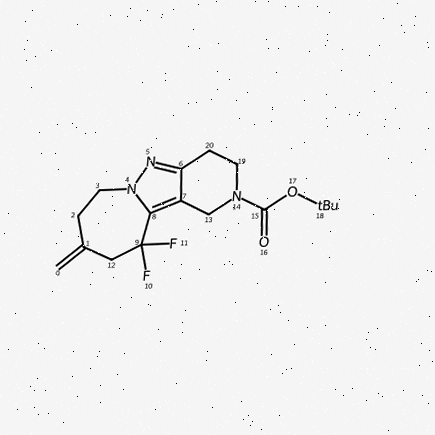 C=C1CCn2nc3c(c2C(F)(F)C1)CN(C(=O)OC(C)(C)C)CC3